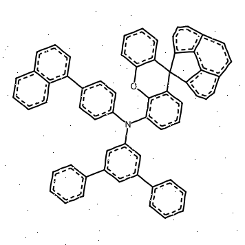 c1ccc(-c2cc(-c3ccccc3)cc(N(c3ccc(-c4cccc5ccccc45)cc3)c3cccc4c3Oc3ccccc3C43c4cccc5ccc6cccc3c6c45)c2)cc1